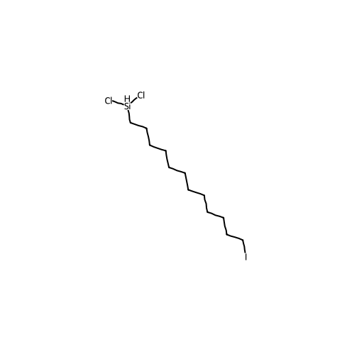 Cl[SiH](Cl)CCCCCCCCCCCCI